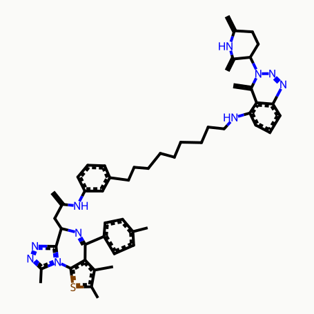 C=C1CCC(N2N=Nc3cccc(NCCCCCCCCCc4cccc(NC(=C)CC5N=C(c6ccc(C)cc6)c6c(sc(C)c6C)-n6c(C)nnc65)c4)c3C2=C)C(=C)N1